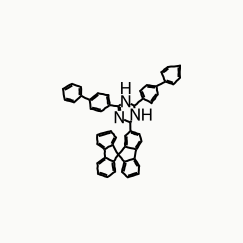 c1ccc(-c2ccc(C3=NC(c4ccc5c(c4)C4(c6ccccc6-c6ccccc64)c4ccccc4-5)NC(c4ccc(-c5ccccc5)cc4)N3)cc2)cc1